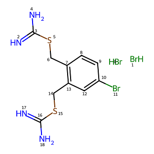 Br.Br.N=C(N)SCc1ccc(Br)cc1CSC(=N)N